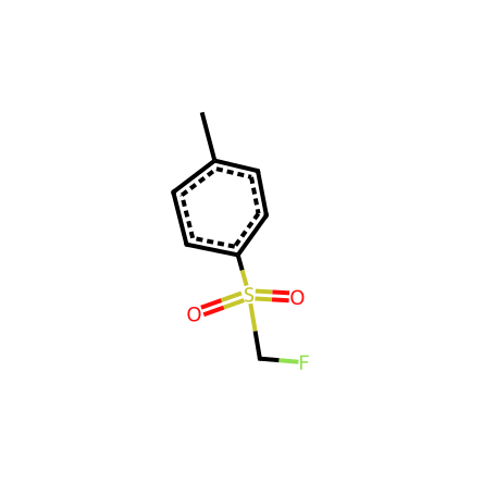 Cc1ccc(S(=O)(=O)CF)cc1